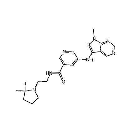 Cn1nc(Nc2cncc(C(=O)NCCN3CCCC3(C)C)c2)c2cncnc21